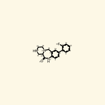 O=C1Nc2ccc(-c3ccccc3F)cc2CN2CCNCC12